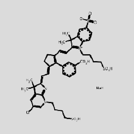 CC1(C)C(=CC=C2CCC(C=CC3=[N+](CCCCS(=O)(=O)O)c4ccc(S(=O)(=O)[O-])cc4C3(C)C)=C2c2cccc(C(=O)O)c2)N=C2C1=CC(Cl)=CN2CCCCS(=O)(=O)O.[NaH]